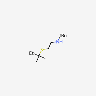 CCC(C)(C)SCCNC(C)(C)C